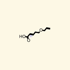 C=CCOCC/C=C/C(=O)O